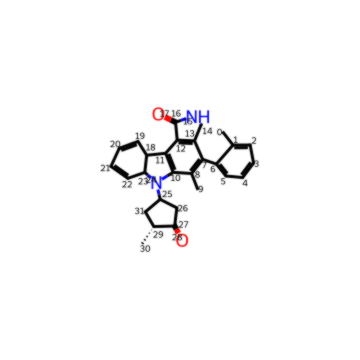 Cc1ccccc1-c1c(C)c2c(c3c1CNC3=O)C1C=CC=CC1N2C1CC(=O)[C@H](C)C1